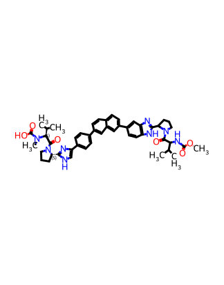 COC(=O)NC(C(=O)N1CCCC1c1nc2cc(-c3ccc4ccc(-c5ccc(-c6c[nH]c([C@@H]7CCCN7C(=O)[C@H](C(C)C)N(C)C(=O)O)n6)cc5)cc4c3)ccc2[nH]1)C(C)C